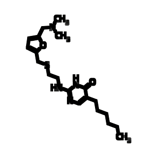 CCCCCCc1cnc(NCCSCc2ccc(CN(C)C)o2)[nH]c1=O